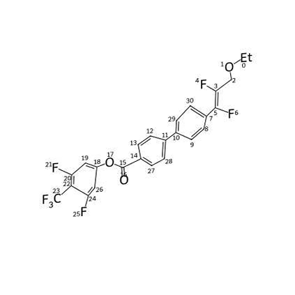 CCOC/C(F)=C(\F)c1ccc(-c2ccc(C(=O)Oc3cc(F)c(C(F)(F)F)c(F)c3)cc2)cc1